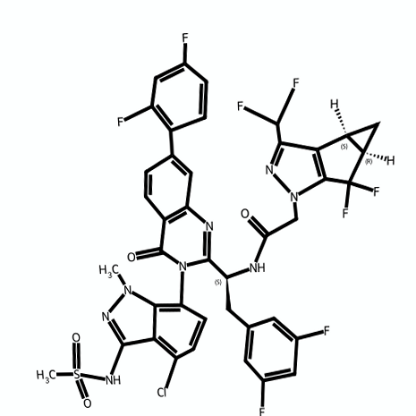 Cn1nc(NS(C)(=O)=O)c2c(Cl)ccc(-n3c([C@H](Cc4cc(F)cc(F)c4)NC(=O)Cn4nc(C(F)F)c5c4C(F)(F)[C@@H]4C[C@H]54)nc4cc(-c5ccc(F)cc5F)ccc4c3=O)c21